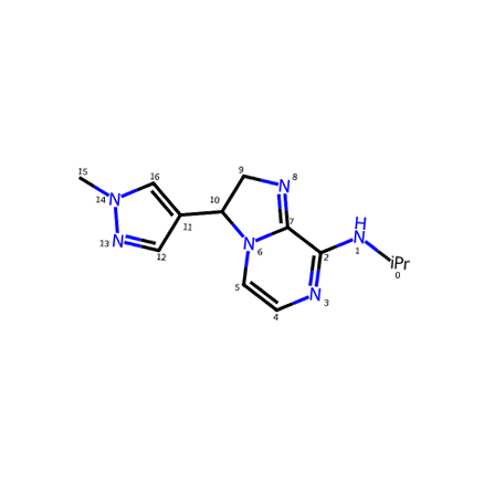 CC(C)NC1=NC=CN2C1=NCC2c1cnn(C)c1